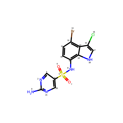 Nc1ncc(S(=O)(=O)Nc2ccc(Br)c3c(Cl)c[nH]c23)cn1